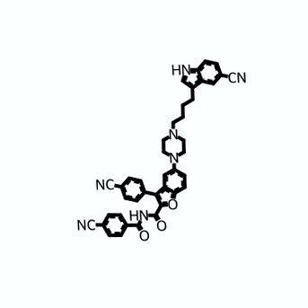 N#Cc1ccc(C(=O)NC(=O)c2oc3ccc(N4CCN(CCCCc5c[nH]c6ccc(C#N)cc56)CC4)cc3c2-c2ccc(C#N)cc2)cc1